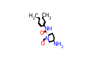 C=C/C=C\C(=C/C=C)NC(=O)[C@@H]1CC[C@H](N)CN1C=O